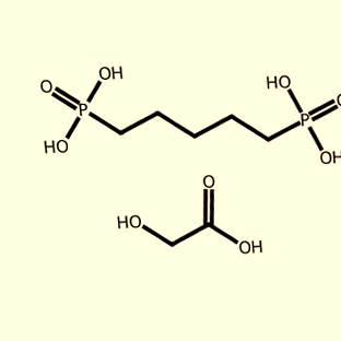 O=C(O)CO.O=P(O)(O)CCCCCP(=O)(O)O